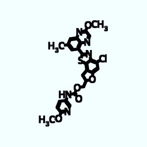 COc1ccc(NC(=O)OCC2Cc3c(cc(Cl)c4nc(-c5cc(C)cc6nc(OC)cnc56)sc34)O2)cn1